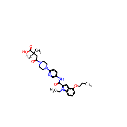 CCCOc1cccc2c1cc(C(=O)Nc1ccc(N3CCN(C(=O)CC(C)(C)C(=O)O)CC3)nc1)n2CC